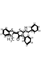 CN1/C(=C2/SC(NCc3ccccc3)N(c3ccccc3)C2=O)Sc2ccccc21